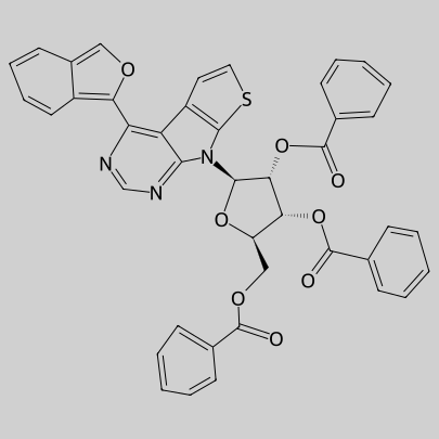 O=C(OC[C@H]1O[C@@H](n2c3ncnc(-c4occ5ccccc45)c3c3ccsc32)[C@H](OC(=O)c2ccccc2)[C@@H]1OC(=O)c1ccccc1)c1ccccc1